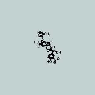 Cn1nnnc1SCC1(C(=O)O)CS[C@@H]2C(NC(=O)C(=NO)c3ccc(O)c([N+](=O)[O-])c3)C(=O)N2C1